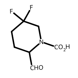 O=CC1CCC(F)(F)CN1C(=O)O